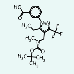 CCc1c(CN(C)C(=O)OC(C)(C)C)c(C(F)(F)F)nn1-c1cccc(C(=O)O)c1